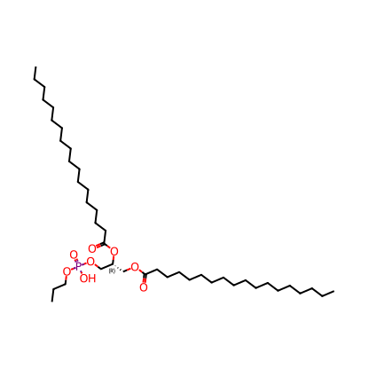 CCCCCCCCCCCCCCCCCC(=O)OC[C@H](COP(=O)(O)OCCC)OC(=O)CCCCCCCCCCCCCCCCC